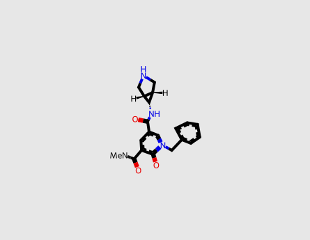 CNC(=O)c1cc(C(=O)N[C@@H]2[C@@H]3CNC[C@@H]32)cn(Cc2ccccc2)c1=O